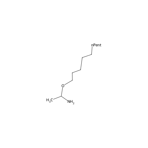 CCCCCCCCCCOC(C)N